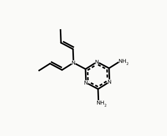 CC=CN(C=CC)c1nc(N)nc(N)n1